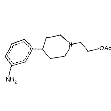 CC(=O)OCCN1CCC(c2cccc(N)c2)CC1